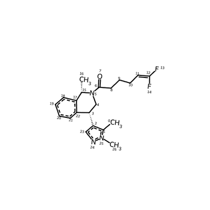 Cc1c([C@H]2CN(C(=O)CCCC=C(F)F)[C@@H](C)c3ccccc32)cnn1C